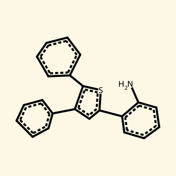 Nc1ccccc1-c1cc(-c2ccccc2)c(-c2ccccc2)s1